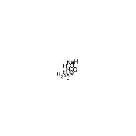 O.O.O.[NaH].[SnH2]